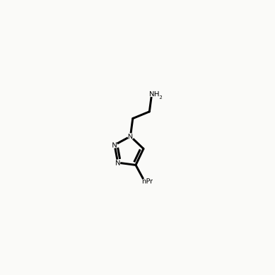 CCCc1cn(CCN)nn1